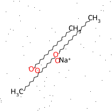 CCCCCCCCCCCCCCCCCC(=O)[O-].CCCCCCCCCCCCCCCCOC(=O)CCCCCCCCCCCCCCC.[Na+]